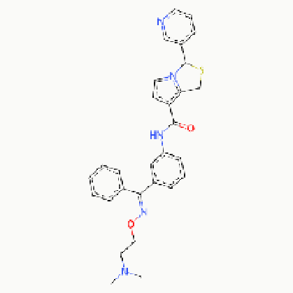 CN(C)CCON=C(c1ccccc1)c1cccc(NC(=O)c2ccn3c2CSC3c2cccnc2)c1